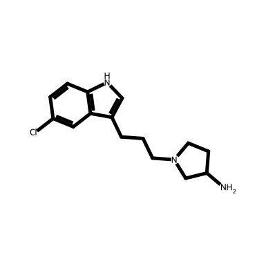 NC1CCN(CCCc2c[nH]c3ccc(Cl)cc23)C1